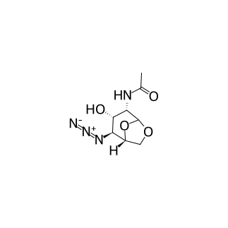 CC(=O)N[C@@H]1C2OC[C@@H](O2)[C@@H](N=[N+]=[N-])[C@@H]1O